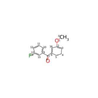 COC1=CC[CH]C(C(=O)c2cccc(F)c2)=C1